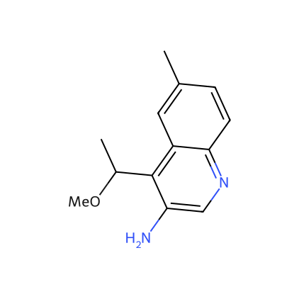 COC(C)c1c(N)cnc2ccc(C)cc12